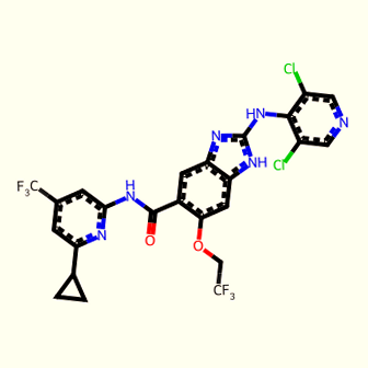 O=C(Nc1cc(C(F)(F)F)cc(C2CC2)n1)c1cc2nc(Nc3c(Cl)cncc3Cl)[nH]c2cc1OCC(F)(F)F